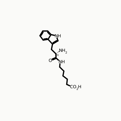 N[C@@H](Cc1c[nH]c2ccccc12)C(=O)NCCCCCC(=O)O